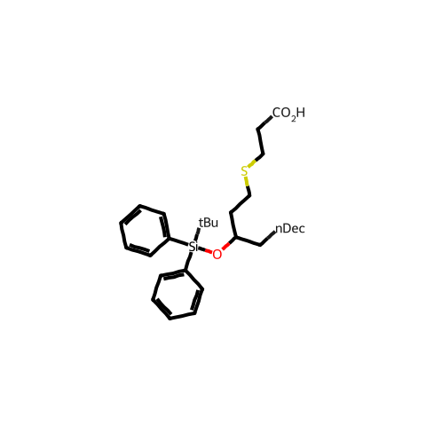 CCCCCCCCCCCC(CCSCCC(=O)O)O[Si](c1ccccc1)(c1ccccc1)C(C)(C)C